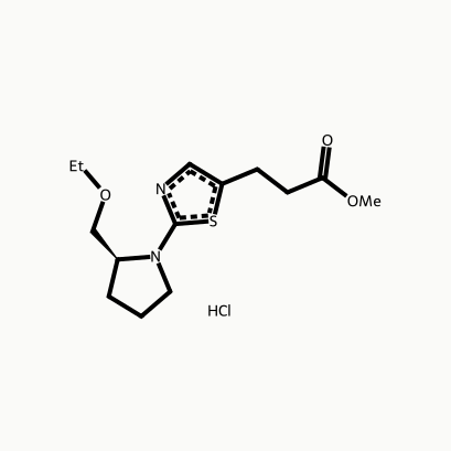 CCOC[C@@H]1CCCN1c1ncc(CCC(=O)OC)s1.Cl